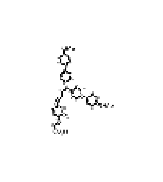 COc1ccc(-c2ccc(C(=CCOc3ccc(OCC(=O)O)c(C)c3)c3ccc(-c4ccc(OC)cc4)cc3)cc2)cc1